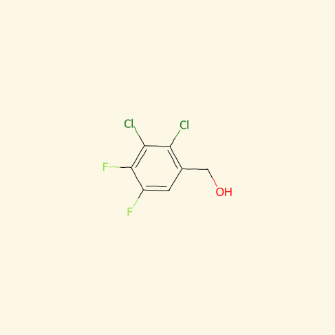 OCc1cc(F)c(F)c(Cl)c1Cl